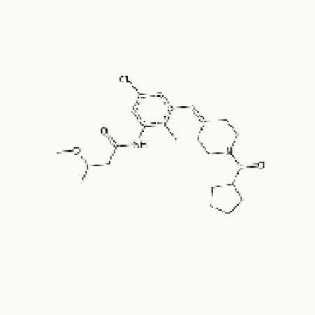 COC(C)CC(=O)Nc1cc(Cl)cc(C=C2CCN(C(=O)C3CCCC3)CC2)c1C